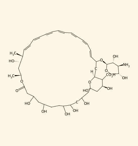 C[C@H]1C[C@H](O)[C@@H](C)/C=C/C=C/C=C/C=C/C=C/C=C/C=C/C(O[C@@H]2OC[C@@H](O)[C@H](N)[C@H]2O)C[C@@H]2OC(O)(CC(O)CC(O)C(O)CCC(O)CC(O)CC(=O)O1)C[C@H](O)C2C(=O)O